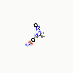 CC(C)[C@@H](C(=O)NCc1nc2ccccc2n1C)n1cc(-c2ccc(S(N)(=O)=O)cc2)nn1